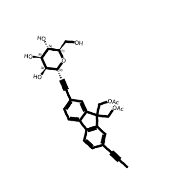 CC#Cc1ccc2c(c1)C(COC(C)=O)(COC(C)=O)c1cc(C#C[C@H]3O[C@H](CO)[C@@H](O)[C@H](O)[C@@H]3O)ccc1-2